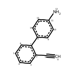 C#Cc1ccccc1-c1ccc(N)cc1